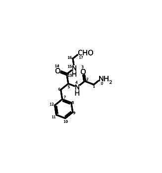 NCC(=O)NC(Cc1ccccc1)C(=O)NCC=O